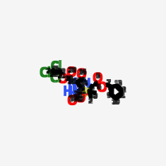 CC1(C)[C@H](C(=O)OCc2ccccc2)N2C(=O)[C@H](NC(=O)OCC(Cl)(Cl)Cl)C2(NC=O)[S+]1[O-]